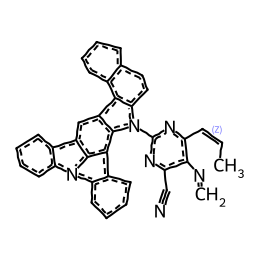 C=Nc1c(C#N)nc(-n2c3ccc4ccccc4c3c3cc4c5ccccc5n5c6ccccc6c(c32)c45)nc1/C=C\C